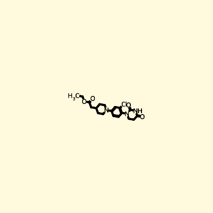 CCOC(=O)CC1CCN(c2ccc(N3CCC(=O)NC3=O)c(Cl)c2)CC1